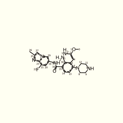 CO/C(N)=C/c1c(N2CCNCC2)ccc(C(=O)Nc2cc(F)c3nc(C)cn3c2)c1N